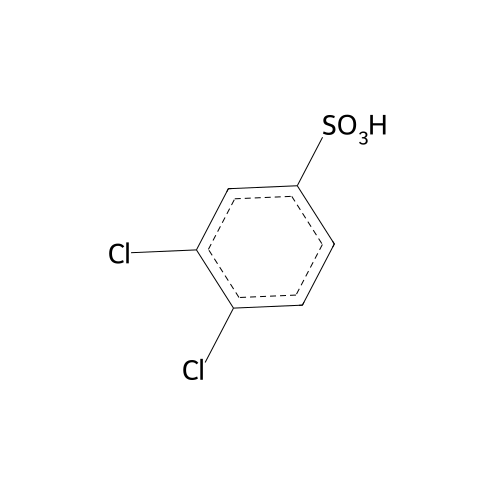 O=S(=O)(O)c1ccc(Cl)c(Cl)c1